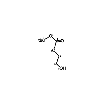 CC(C)(C)OC(=O)OCCO